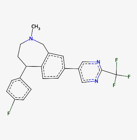 CN1CCC(c2ccc(F)cc2)c2ccc(-c3cnc(C(F)(F)F)nc3)cc2C1